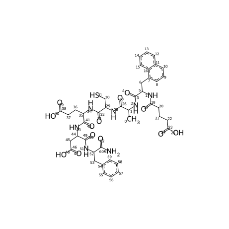 CC(NC(=O)C(Cc1cccc2ccccc12)NC(=O)CCCC(=O)O)C(=O)NC(CS)C(=O)NC(CCC(=O)O)C(=O)NC(CC(=O)O)C(=O)NC(Cc1ccccc1)C(N)=O